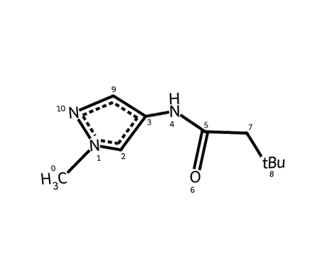 Cn1cc(NC(=O)CC(C)(C)C)cn1